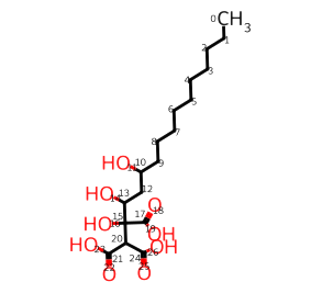 CCCCCCCCCCC(O)CC(O)C(O)(C(=O)O)C(C(=O)O)C(=O)O